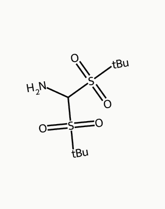 CC(C)(C)S(=O)(=O)C(N)S(=O)(=O)C(C)(C)C